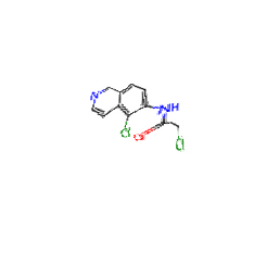 O=C(CCl)Nc1ccc2cnccc2c1Cl